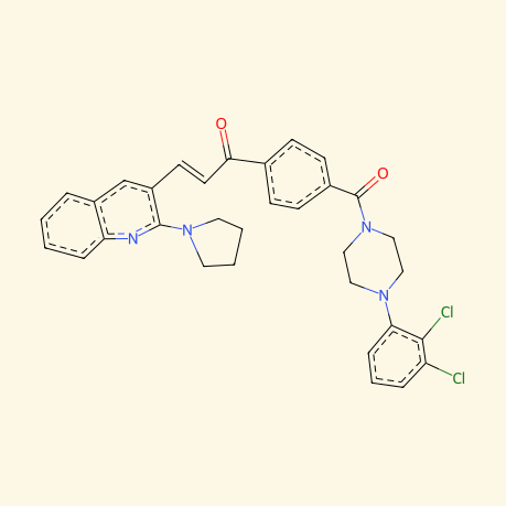 O=C(C=Cc1cc2ccccc2nc1N1CCCC1)c1ccc(C(=O)N2CCN(c3cccc(Cl)c3Cl)CC2)cc1